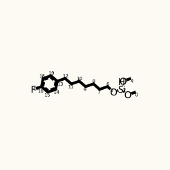 CO[SiH](OC)OCCCCCCCc1ccc(F)cc1